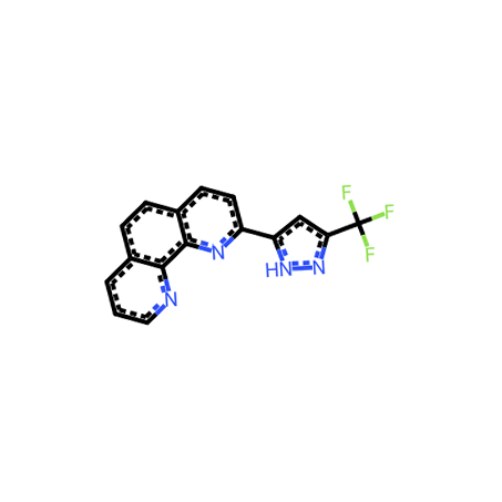 FC(F)(F)c1cc(-c2ccc3ccc4cccnc4c3n2)[nH]n1